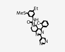 CCc1cc(NC(=O)N2CCc3nc(-c4cncnc4)nc(-c4ccccc4C)c3C2)cc(SC)c1